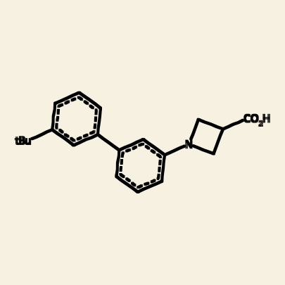 CC(C)(C)c1cccc(-c2cccc(N3CC(C(=O)O)C3)c2)c1